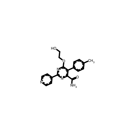 Cc1ccc(-c2c(OCCO)nc(-c3ccncc3)nc2C(N)=O)cc1